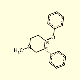 CN1CC[C@@H](Oc2ccccc2)[C@H](c2ccccc2)C1